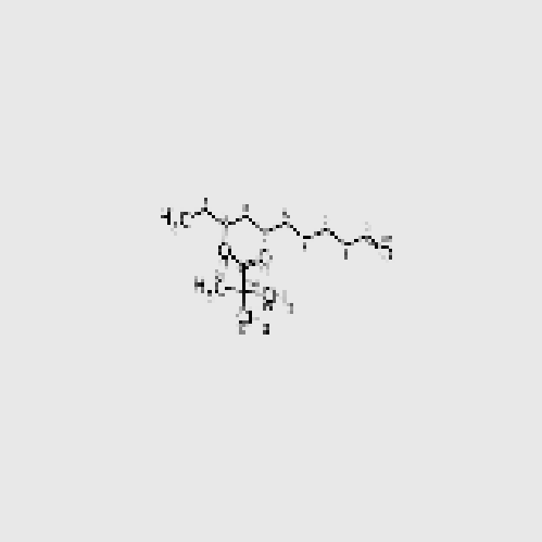 CCC(CCCCCCC=O)OC(=O)C(C)(C)C